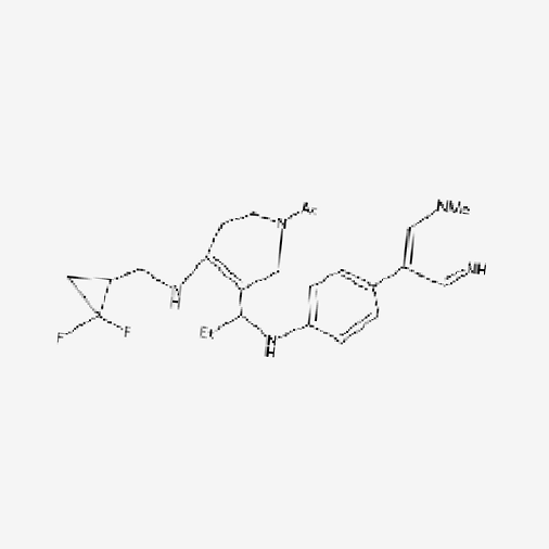 CCC(Nc1ccc(/C(C=N)=C/NC)cc1)C1=C(NCC2CC2(F)F)CCN(C(C)=O)C1